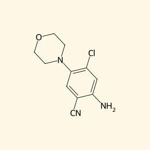 N#Cc1cc(N2CCOCC2)c(Cl)cc1N